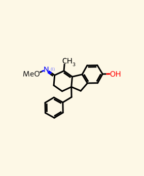 CO/N=C1\CCC2(Cc3ccccc3)Cc3cc(O)ccc3C2=C1C